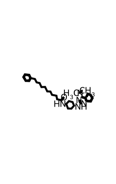 CN(C)c1nc(N[C@H]2CC[C@@H](NC(=O)CCCCCCCCCCc3ccccc3)CC2)nc2ccccc12